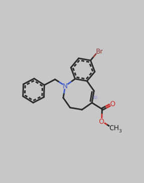 COC(=O)/C1=C/c2cc(Br)ccc2N(Cc2ccccc2)CCC1